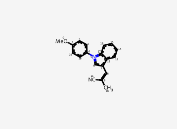 COc1ccc(-n2cc(/C=C(/C)C#N)c3ccccc32)cc1